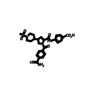 CS(=O)(=O)N1CCC(C2CC(C(=O)Nc3ccc(C(=O)O)cc3)N(C(=O)c3ccc(C(=N)N)cc3)C2)CC1